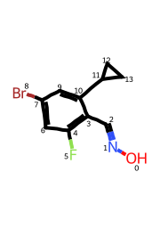 O/N=C/c1c(F)cc(Br)cc1C1CC1